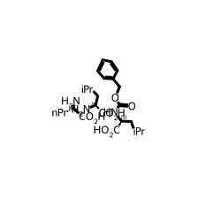 CC(C)C[C@H](N)C(=O)O.CC(C)C[C@H](NC(=O)OCc1ccccc1)C(=O)O.CCC[C@H](N)C(=O)O